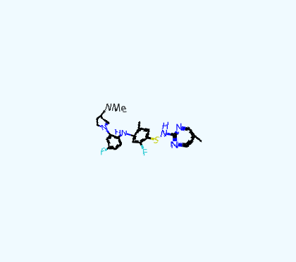 CNC1CCN(c2cc(F)ccc2Nc2cc(F)c(SNc3ncc(C)cn3)cc2C)C1